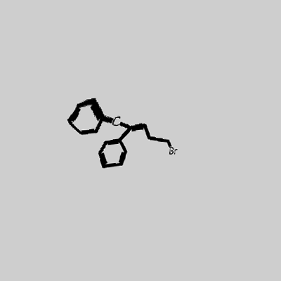 BrCC/C=C(/Cc1ccccc1)c1ccccc1